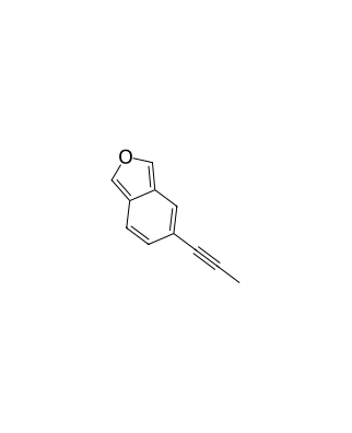 CC#Cc1ccc2cocc2c1